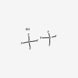 F[B-](F)(F)F.F[B-](F)(F)F.[KH]